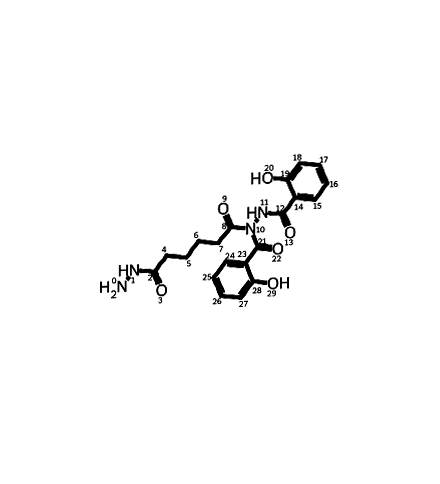 NNC(=O)CCCCC(=O)N(NC(=O)c1ccccc1O)C(=O)c1ccccc1O